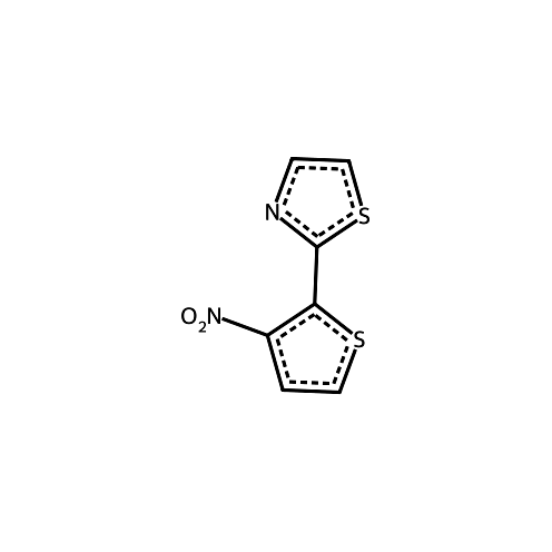 O=[N+]([O-])c1ccsc1-c1nccs1